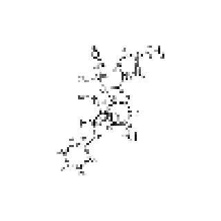 Cc1cc2n(n1)CC1(c3ccc(Cl)cc3)N(C(=O)NCc3ccccc3)CCN1C2=O